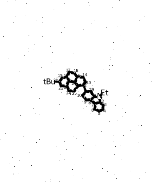 CCn1c2ccccc2c2ccc(-c3ccc4ccc5cc(C(C)(C)C)cc6ccc3c4c56)cc21